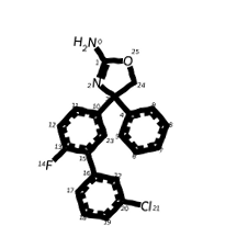 NC1=NC(c2ccccc2)(c2ccc(F)c(-c3cccc(Cl)c3)c2)CO1